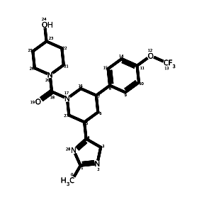 CC1=NCC(C2CC(c3ccc(OC(F)(F)F)cc3)CN(C(=O)N3CCC(O)CC3)C2)=N1